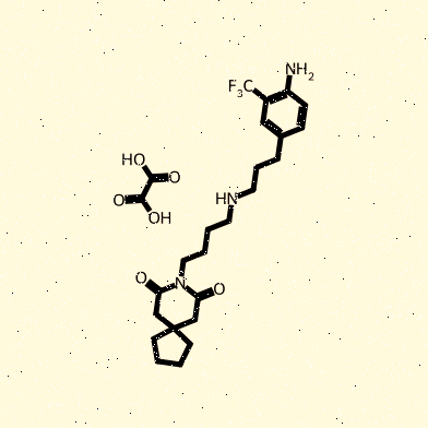 Nc1ccc(CCCNCCCCN2C(=O)CC3(CCCC3)CC2=O)cc1C(F)(F)F.O=C(O)C(=O)O